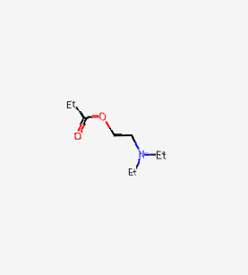 [CH2]CC(=O)OCCN(CC)CC